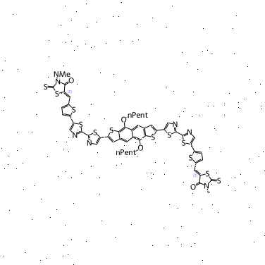 CCCCCOc1c2cc3cc(-c4cnc(-c5ncc(-c6ccc(/C=C7\SC(=S)N(NC)C7=O)s6)s5)s4)sc3c(OCCCCC)c2cc2cc(-c3cnc(-c4ncc(-c5ccc(/C=C6\SC(=S)N(C)C6=O)s5)s4)s3)sc12